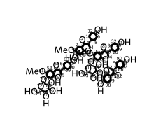 COc1cc2c(=O)c(-c3ccc(O)cc3)coc2cc1O.COc1cc2c(=O)c(-c3ccc(O)cc3)coc2cc1O[C@@H]1O[C@H](CO)[C@@H](O)[C@H](O)[C@H]1O.COc1cc2c(=O)c(-c3ccc(O)cc3)coc2cc1O[C@@H]1O[C@H](CO)[C@@H](O)[C@H](O)[C@H]1O.O=c1c(-c2ccc(O)cc2)coc2cc(O)ccc12